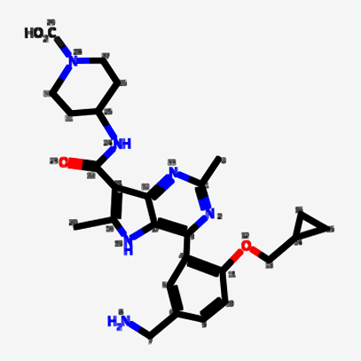 Cc1nc(-c2cc(CN)ccc2OCC2CC2)c2[nH]c(C)c(C(=O)NC3CCN(C(=O)O)CC3)c2n1